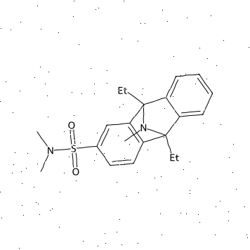 CCC12c3ccccc3C(CC)(c3cc(S(=O)(=O)N(C)C)ccc31)N2C